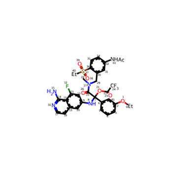 CCOc1cccc(C(Nc2cc(F)c3c(N)nccc3c2)(OC(=O)C(F)(F)F)C(=O)N(C)Cc2cc(NC(C)=O)ccc2S(=O)(=O)CC)c1